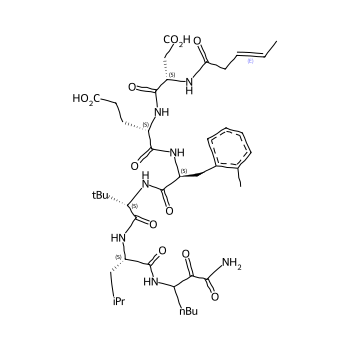 C/C=C/CC(=O)N[C@@H](CC(=O)O)C(=O)N[C@@H](CCC(=O)O)C(=O)N[C@@H](Cc1ccccc1C)C(=O)N[C@H](C(=O)N[C@@H](CC(C)C)C(=O)NC(CCCC)C(=O)C(N)=O)C(C)(C)C